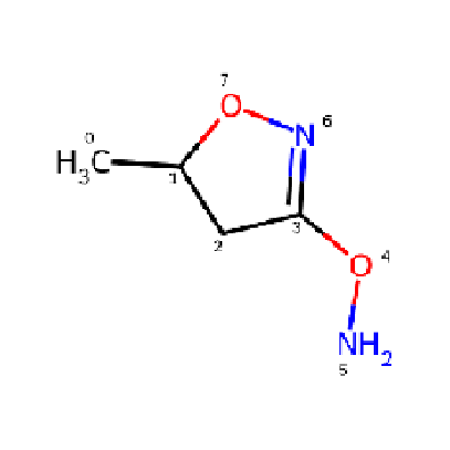 CC1CC(ON)=NO1